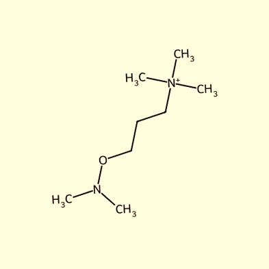 CN(C)OCCC[N+](C)(C)C